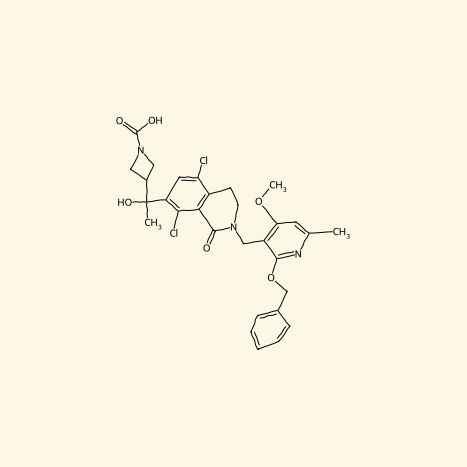 COc1cc(C)nc(OCc2ccccc2)c1CN1CCc2c(Cl)cc(C(C)(O)C3CN(C(=O)O)C3)c(Cl)c2C1=O